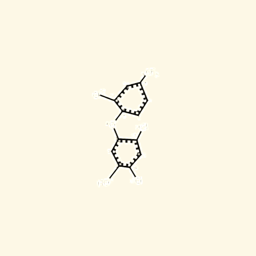 Oc1cc(Oc2ccc(C(F)(F)F)cc2Cl)c(Cl)cc1Cl